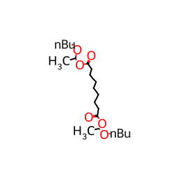 CCCCOC(C)OC(=O)CCCCCCCC(=O)OC(C)OCCCC